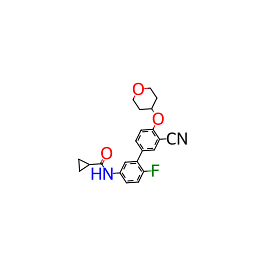 N#Cc1cc(-c2cc(NC(=O)C3CC3)ccc2F)ccc1OC1CCOCC1